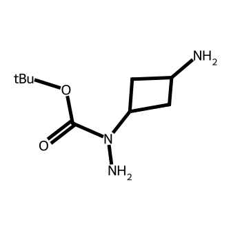 CC(C)(C)OC(=O)N(N)C1CC(N)C1